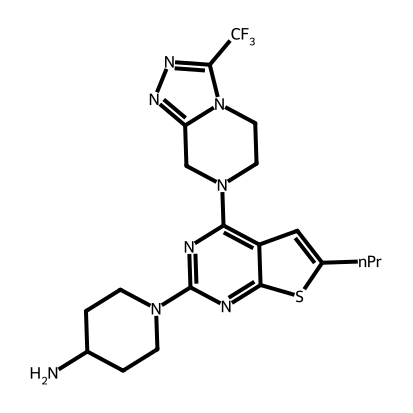 CCCc1cc2c(N3CCn4c(nnc4C(F)(F)F)C3)nc(N3CCC(N)CC3)nc2s1